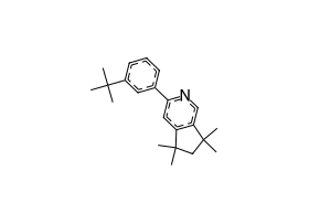 CC(C)(C)c1cccc(-c2cc3c(cn2)C(C)(C)CC3(C)C)c1